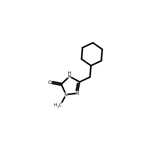 Cn1nc(CC2CCCCC2)[nH]c1=O